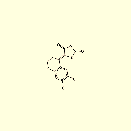 O=C1NC(=O)/C(=C2\CCSc3cc(Cl)c(Cl)cc32)S1